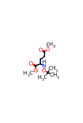 COC(=O)CCC(NOC(C)(C)C)C(=O)OC